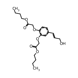 CCCCOC(=O)COc1ccc(C=CCO)cc1OCC(=O)OCCCC